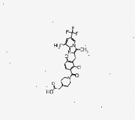 Cc1cc(C(F)(F)F)cn2c(C)c(Cc3c(Cl)ccc(C(=O)N4CCC(CC(=O)O)CC4)c3Cl)nc12